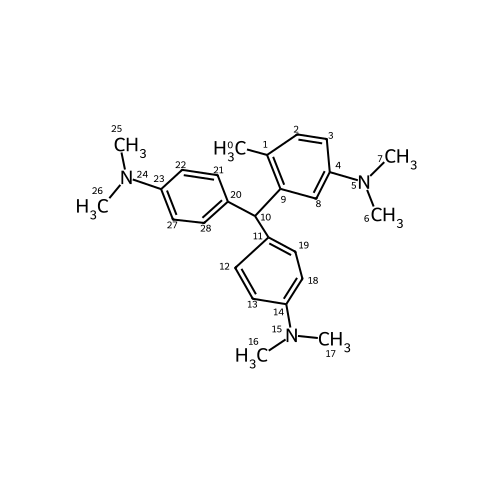 Cc1ccc(N(C)C)cc1C(c1ccc(N(C)C)cc1)c1ccc(N(C)C)cc1